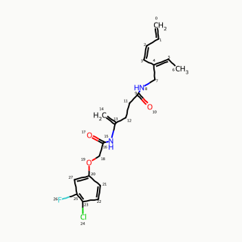 C=C/C=C\C(=C\C)CNC(=O)CCC(=C)NC(=O)COc1ccc(Cl)c(F)c1